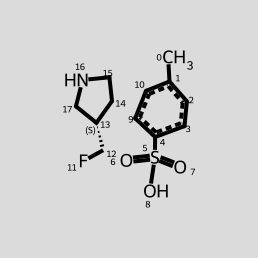 Cc1ccc(S(=O)(=O)O)cc1.FC[C@H]1CCNC1